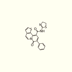 O=C(NC1=NCCS1)c1cc(-c2ccccc2)c(=O)n2ccc3ccsc3c12